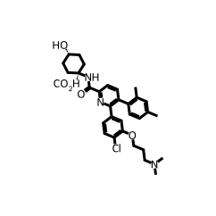 Cc1ccc(-c2ccc(C(=O)N[C@]3(C(=O)O)CC[C@@H](O)CC3)nc2-c2ccc(Cl)c(OCCCN(C)C)c2)c(C)c1